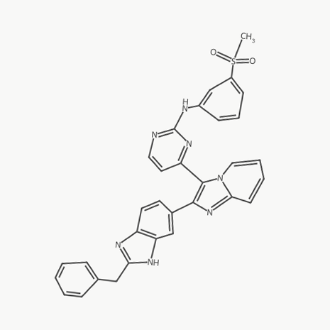 CS(=O)(=O)c1cccc(Nc2nccc(-c3c(-c4ccc5nc(Cc6ccccc6)[nH]c5c4)nc4ccccn34)n2)c1